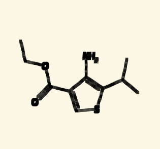 CCOC(=O)c1csc(C(C)C)c1N